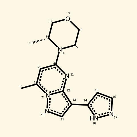 Cc1cc(N2CCOC[C@H]2C)nc2c(-c3ccn[nH]3)cnn12